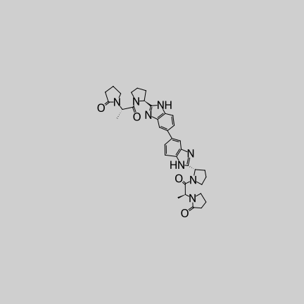 C[C@@H](C(=O)N1CCC[C@H]1c1nc2cc(-c3ccc4[nH]c([C@@H]5CCCN5C(=O)[C@H](C)N5CCCC5=O)nc4c3)ccc2[nH]1)N1CCCC1=O